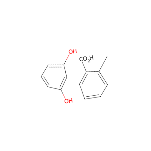 Cc1ccccc1C(=O)O.Oc1cccc(O)c1